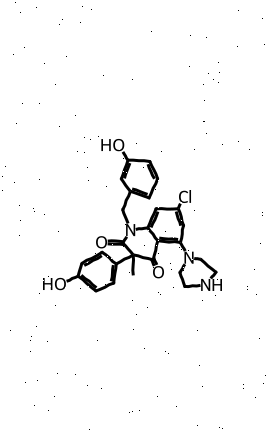 CC1(c2ccc(O)cc2)C(=O)c2c(N3CCNCC3)cc(Cl)cc2N(Cc2cccc(O)c2)C1=O